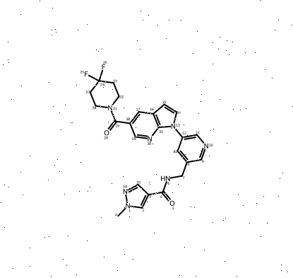 Cn1cc(C(=O)NCc2cncc(-n3ccc4cc(C(=O)N5CCC(F)(F)CC5)cnc43)c2)cn1